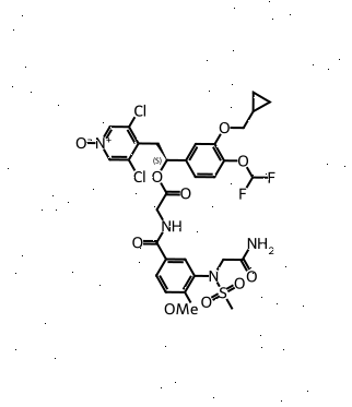 COc1ccc(C(=O)NCC(=O)O[C@@H](Cc2c(Cl)c[n+]([O-])cc2Cl)c2ccc(OC(F)F)c(OCC3CC3)c2)cc1N(CC(N)=O)S(C)(=O)=O